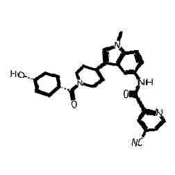 Cn1cc(C2CCN(C(=O)[C@H]3CC[C@@H](O)CC3)CC2)c2cc(NC(=O)c3cc(C#N)ccn3)ccc21